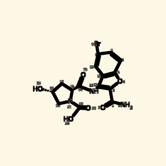 NC(=O)c1oc2ccc(Br)cc2c1NC(=O)[C@@H]1C[C@@H](O)CN1C(=O)O